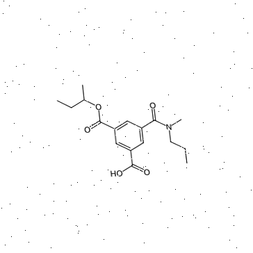 CCCN(C)C(=O)c1cc(C(=O)O)cc(C(=O)OC(C)CC)c1